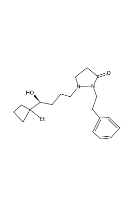 CCC1([C@@H](O)CCCN2CCC(=O)N2CCc2ccccc2)CCC1